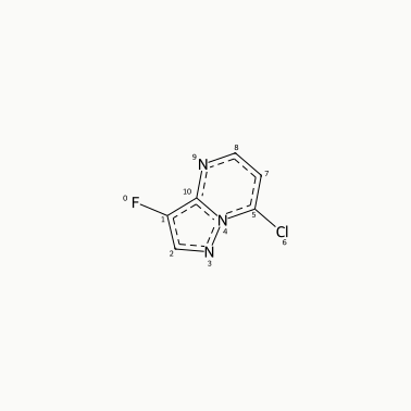 Fc1cnn2c(Cl)ccnc12